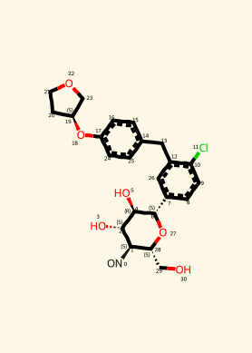 O=N[C@H]1[C@H](O)[C@@H](O)[C@H](c2ccc(Cl)c(Cc3ccc(O[C@H]4CCOC4)cc3)c2)O[C@@H]1CO